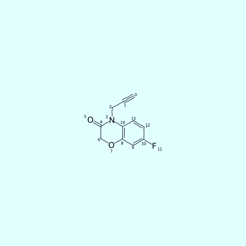 C#CCN1C(=O)COc2cc(F)[c]cc21